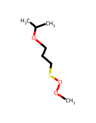 COOSCCCOC(C)C